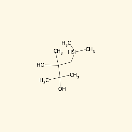 C[SiH](C)CC(C)(O)C(C)(C)O